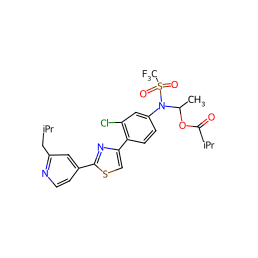 CC(C)Cc1cc(-c2nc(-c3ccc(N(C(C)OC(=O)C(C)C)S(=O)(=O)C(F)(F)F)cc3Cl)cs2)ccn1